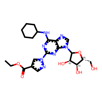 CCOC(=O)c1cnn(-c2nc(NC3CCCCC3)c3ncn(C4O[C@H](CO)[C@@H](O)[C@H]4O)c3n2)c1